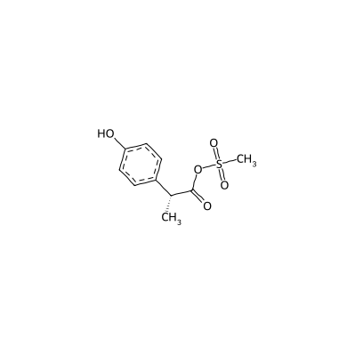 C[C@@H](C(=O)OS(C)(=O)=O)c1ccc(O)cc1